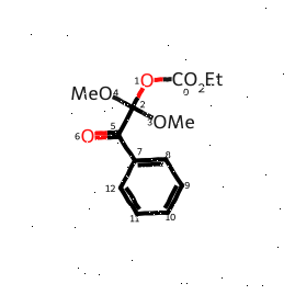 CCOC(=O)OC(OC)(OC)C(=O)c1ccccc1